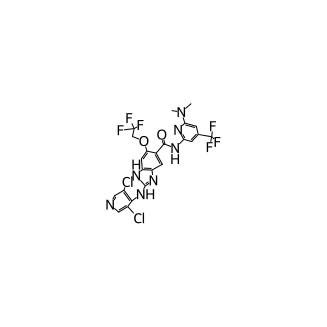 CN(C)c1cc(C(F)(F)F)cc(NC(=O)c2cc3nc(Nc4c(Cl)cncc4Cl)[nH]c3cc2OCC(F)(F)F)n1